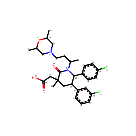 CC1CN(CCC(C)N2C(=O)C(C)(CC(=O)O)CC(c3cccc(Cl)c3)C2c2ccc(Cl)cc2)CC(C)O1